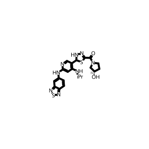 CC(C)Nc1cc(Nc2ccc3nsnc3c2)ncc1C1NN=C(C(=O)N2CC[C@H](O)C2)S1